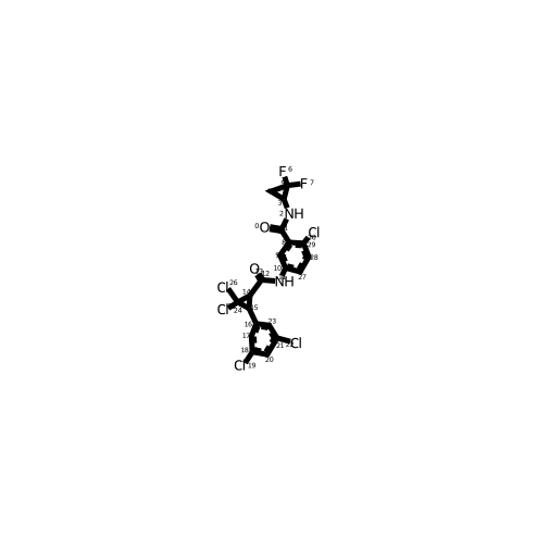 O=C(NC1CC1(F)F)c1cc(NC(=O)C2C(c3cc(Cl)cc(Cl)c3)C2(Cl)Cl)ccc1Cl